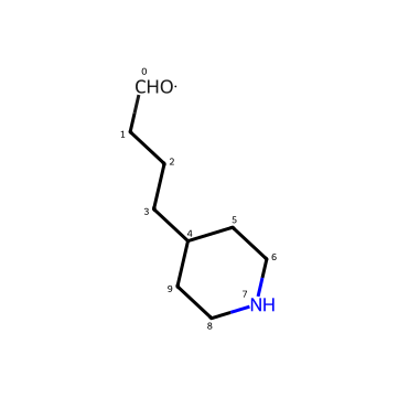 O=[C]CCCC1CCNCC1